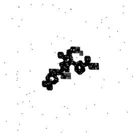 CCn1cc(-c2cccc(C(=O)O)c2)c2sc(C(=N)NC3CCS(=O)(=O)CC3)cc2c1=O